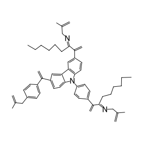 C=C(C)C/N=C(\CCCCCC)C(=C)c1ccc(-n2c3ccc(C(=C)/C(CCCCCC)=N/CC(=C)C)cc3c3cc(C(=C)c4ccc(CC(=C)C)cc4)ccc32)cc1